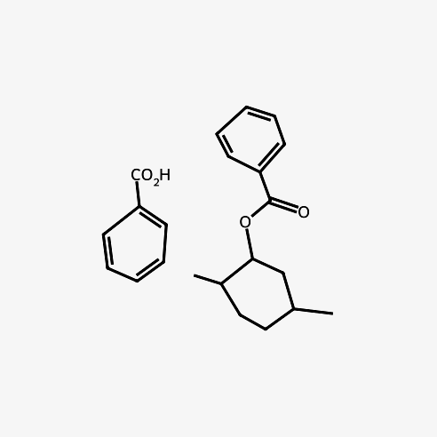 CC1CCC(C)C(OC(=O)c2ccccc2)C1.O=C(O)c1ccccc1